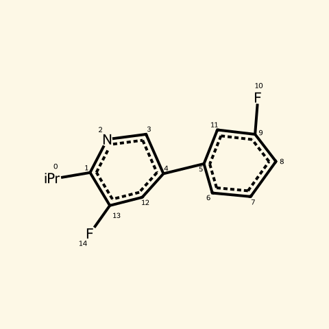 CC(C)c1ncc(-c2cccc(F)c2)cc1F